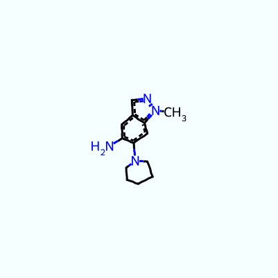 Cn1ncc2cc(N)c(N3CCCCC3)cc21